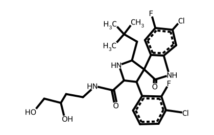 CC(C)(C)CC1NC(C(=O)NCCC(O)CO)C(c2cccc(Cl)c2F)C12C(=O)Nc1cc(Cl)c(F)cc12